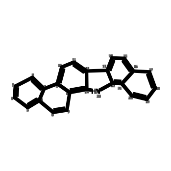 c1ccc2c(c1)ccc1c2ccc2c3ccc4ccccc4c3[nH]c12